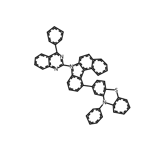 c1ccc(-c2nc(-n3c4cccc(-c5ccc6c(c5)N(c5ccccc5)c5ccccc5S6)c4c4c5ccccc5ccc43)nc3ccccc23)cc1